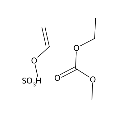 C=COS(=O)(=O)O.CCOC(=O)OC